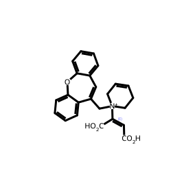 O=C(O)/C=C(\C(=O)O)[N+]1(CC2=Cc3ccccc3Oc3ccccc32)CC=CCC1